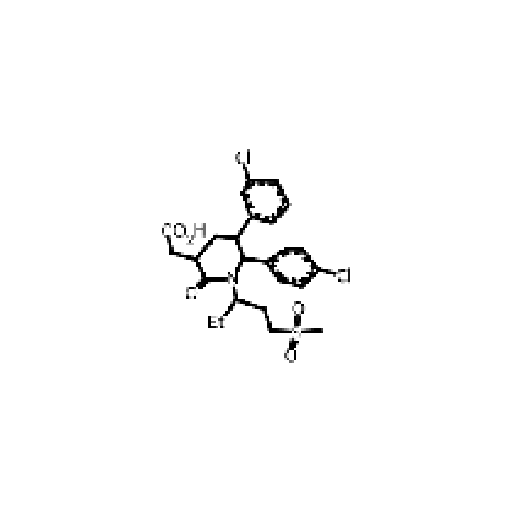 CCC(CCS(C)(=O)=O)N1C(=O)C(CC(=O)O)CC(c2cccc(Cl)c2)C1c1ccc(Cl)cc1